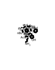 CC(=O)[NH][Gd][c]1ccccc1.CCCC[C@H](NC=O)C(=O)N[C@@H](CC(C)C)C(=O)N[C@@H](C)C(=O)N[C@@H](CCCC)C(=O)N(c1ccccc1)[C@@H](Cc1ccc(O)cc1)C(=O)N[C@@H](CCCCN)C(=O)OC(C)=O